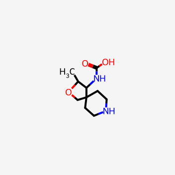 CC1OCC2(CCNCC2)C1NC(=O)O